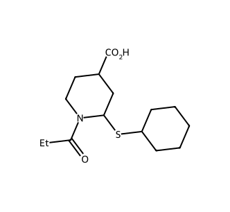 CCC(=O)N1CCC(C(=O)O)CC1SC1CCCCC1